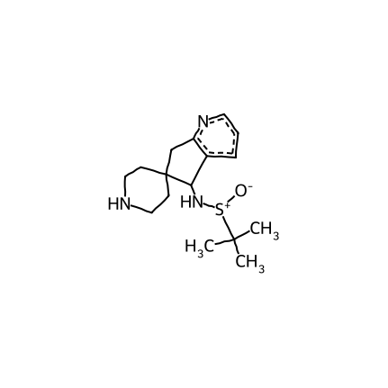 CC(C)(C)[S+]([O-])NC1c2cccnc2CC12CCNCC2